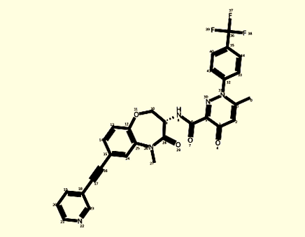 Cc1cc(=O)c(C(=O)N[C@H]2COc3ccc(C#Cc4cccnc4)cc3N(C)C2=O)nn1-c1ccc(C(F)(F)F)cc1